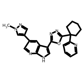 Cn1cc(-c2cnc3[nH]cc(-c4nnc(C5(c6ccccn6)CCCCC5)o4)c3c2)cn1